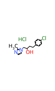 Cc1nccn1CC(O)CCc1ccc(Cl)cc1.Cl